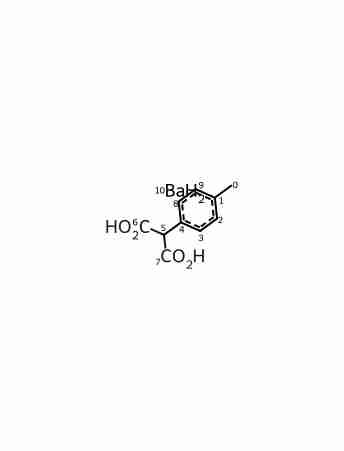 Cc1ccc(C(C(=O)O)C(=O)O)cc1.[BaH2]